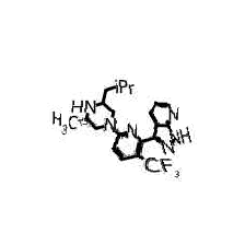 CC(C)CC1CN(c2ccc(C(F)(F)F)c(-c3n[nH]c4ncccc34)n2)C[C@H](C)N1